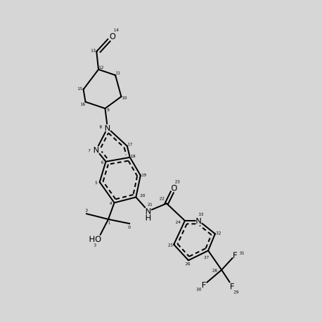 CC(C)(O)c1cc2nn(C3CCC(C=O)CC3)cc2cc1NC(=O)c1ccc(C(F)(F)F)cn1